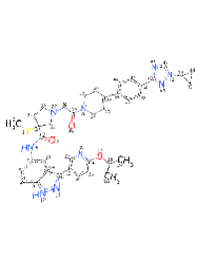 CS[C@@]1(C(=O)Nc2ccc3[nH]nc(-c4ccc(OC(C)C)nc4)c3c2)CCN(CC(=O)N2CC=C(c3ccc(-c4ncn(C5CC5)n4)cc3)CC2)C1